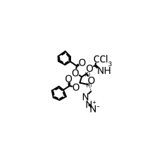 [N-]=[N+]=NC[C@H]1O[C@@H](OC(=N)C(Cl)(Cl)Cl)C(OC(=O)c2ccccc2)C1OC(=O)c1ccccc1